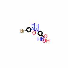 O=C(Nc1ccc(Br)cc1)Nc1ccc(C(=O)NO)cc1